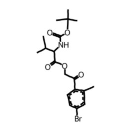 Cc1cc(Br)ccc1C(=O)COC(=O)C(NC(=O)OC(C)(C)C)C(C)C